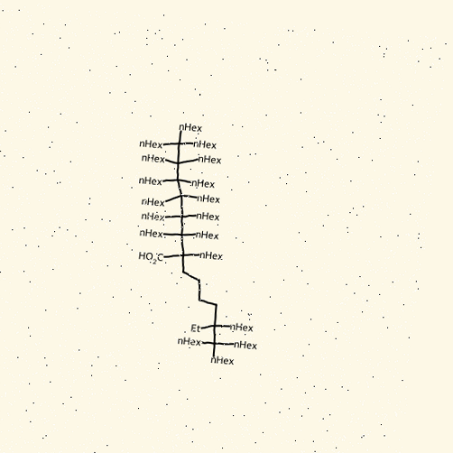 CCCCCCC(CC)(CCCCC(CCCCCC)(C(=O)O)C(CCCCCC)(CCCCCC)C(CCCCCC)(CCCCCC)C(CCCCCC)(CCCCCC)C(CCCCCC)(CCCCCC)C(CCCCCC)(CCCCCC)C(CCCCCC)(CCCCCC)CCCCCC)C(CCCCCC)(CCCCCC)CCCCCC